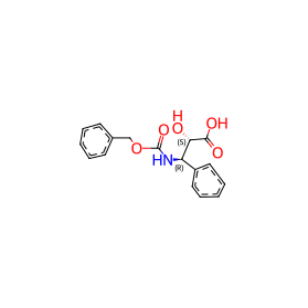 O=C(N[C@H](c1ccccc1)[C@H](O)C(=O)O)OCc1ccccc1